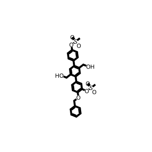 CS(=O)(=O)Oc1ccc(-c2cc(CO)c(-c3ccc(OCc4ccccc4)c(OS(C)(=O)=O)c3)cc2CO)cc1